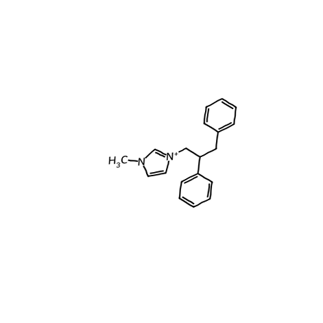 Cn1cc[n+](CC(Cc2ccccc2)c2ccccc2)c1